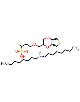 CCCCCCCCNCCCCCCCC.O=S(=O)(O)C(F)CCOCC1COc2cscc2O1